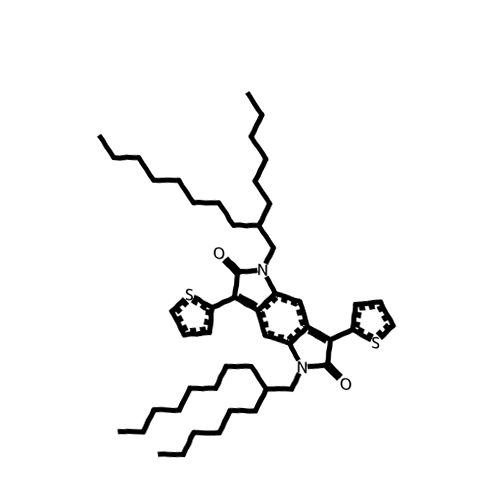 CCCCCCCCC(CCCCCC)CN1C(=O)C(c2cccs2)=c2cc3c(cc21)=C(c1cccs1)C(=O)N3CC(CCCCCC)CCCCCCCC